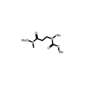 CCCCN(CCC(=O)N(C)OC)C(=O)OC(C)(C)C